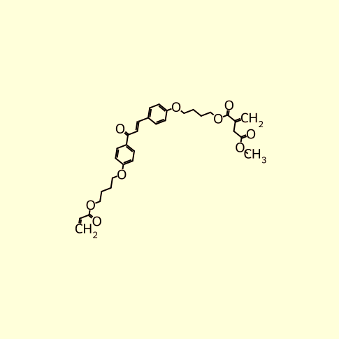 C=CC(=O)OCCCCOc1ccc(C(=O)/C=C/c2ccc(OCCCCOC(=O)C(=C)CC(=O)OC)cc2)cc1